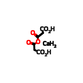 O=C(O)CC(=O)OC(=O)CC(=O)O.[CaH2]